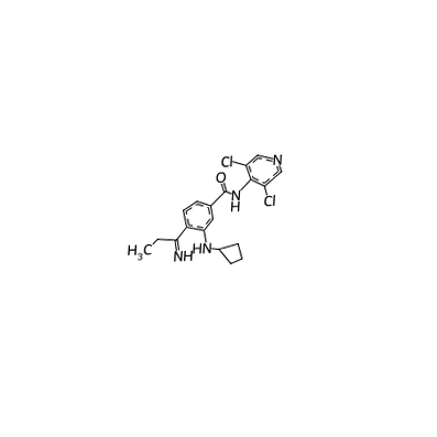 CCC(=N)c1ccc(C(=O)Nc2c(Cl)cncc2Cl)cc1NC1CCC1